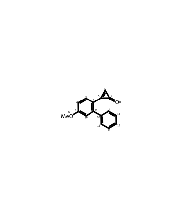 COc1ccc(-c2cc2=O)c(-c2ccccc2)c1